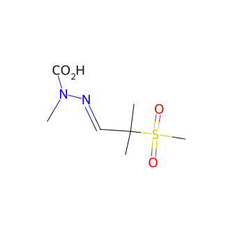 CN(N=CC(C)(C)S(C)(=O)=O)C(=O)O